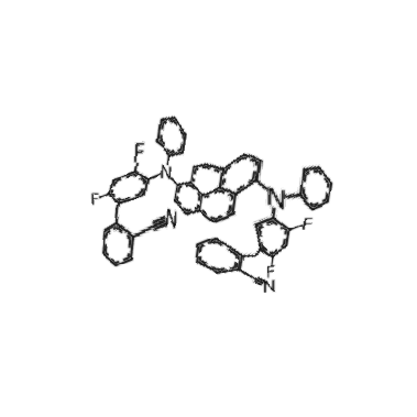 N#Cc1ccccc1-c1cc(N(c2ccccc2)c2ccc3ccc4c(N(c5ccccc5)c5cc(-c6ccccc6C#N)c(F)cc5F)ccc5ccc2c3c54)c(F)cc1F